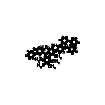 Bc1c(B)c(B)c2c(c1B)c1c(B)c(-c3ccc4c(c3)c3cccc(-c5ccccc5)c3n4-c3ccccc3)c(B)c(B)c1n2-c1ccc2sc3ccccc3c2c1